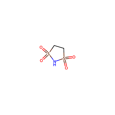 O=S1(=O)CCS(=O)(=O)N1